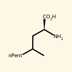 CCCCCC(C)C[C@H](N)C(=O)O